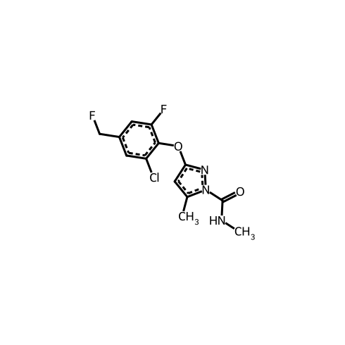 CNC(=O)n1nc(Oc2c(F)cc(CF)cc2Cl)cc1C